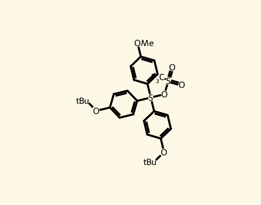 COc1ccc(S(OS(=O)(=O)C(F)(F)F)(c2ccc(OC(C)(C)C)cc2)c2ccc(OC(C)(C)C)cc2)cc1